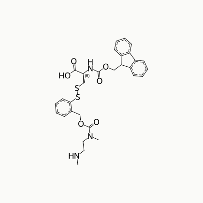 CNCCN(C)C(=O)OCc1ccccc1SSC[C@H](NC(=O)OCC1c2ccccc2-c2ccccc21)C(=O)O